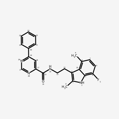 Cc1[nH]c2c(F)ccc(C)c2c1CCNC(=O)c1cc(-c2ccccc2)ncn1